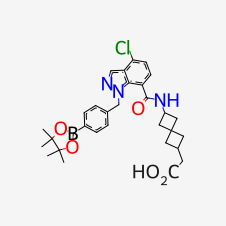 CC1(C)OB(c2ccc(Cn3ncc4c(Cl)ccc(C(=O)NC5CC6(CC(CC(=O)O)C6)C5)c43)cc2)OC1(C)C